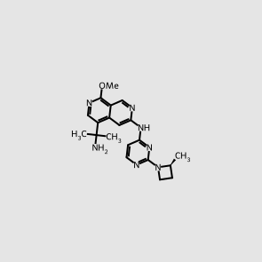 COc1ncc(C(C)(C)N)c2cc(Nc3ccnc(N4CC[C@@H]4C)n3)ncc12